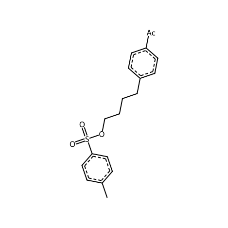 CC(=O)c1ccc(CCCCOS(=O)(=O)c2ccc(C)cc2)cc1